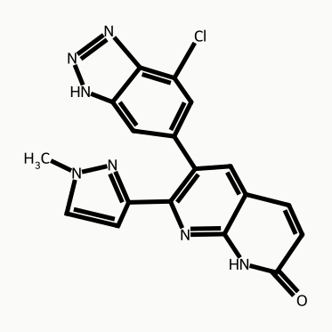 Cn1ccc(-c2nc3[nH]c(=O)ccc3cc2-c2cc(Cl)c3nn[nH]c3c2)n1